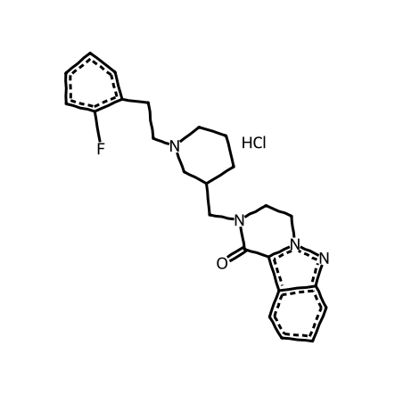 Cl.O=C1c2c3ccccc3nn2CCN1CC1CCCN(CCc2ccccc2F)C1